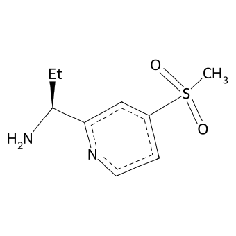 CC[C@H](N)c1cc(S(C)(=O)=O)ccn1